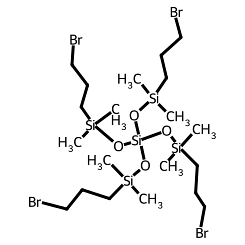 C[Si](C)(CCCBr)O[Si](O[Si](C)(C)CCCBr)(O[Si](C)(C)CCCBr)O[Si](C)(C)CCCBr